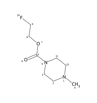 CN1CCN(C(=O)OCCF)CC1